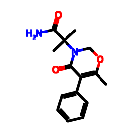 CC1=C(c2ccccc2)C(=O)N(C(C)(C)C(N)=O)CO1